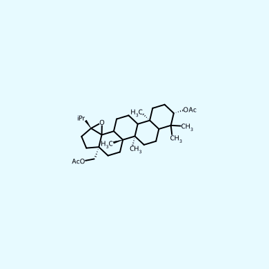 CC(=O)OC[C@]12CC[C@]3(C(C)C)OC13C1CCC3[C@@]4(C)CC[C@H](OC(C)=O)C(C)(C)C4CC[C@@]3(C)[C@]1(C)CC2